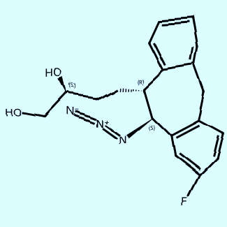 [N-]=[N+]=N[C@@H]1c2cc(F)ccc2Cc2ccccc2[C@H]1CC[C@H](O)CO